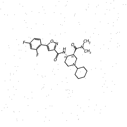 CN(C)C(=O)[C@H]1CN(C2CCCCC2)CC[C@@H]1NC(=O)c1cc(-c2ccc(F)cc2F)on1